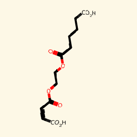 O=C(O)/C=C\C(=O)OCCOC(=O)CCCCC(=O)O